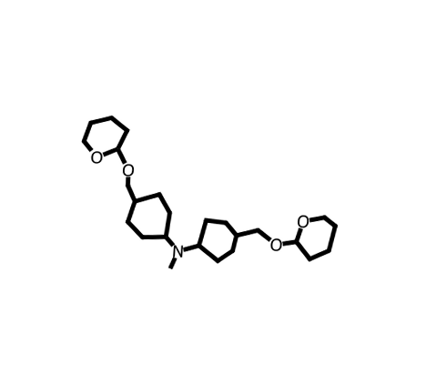 CN(C1CCC(COC2CCCCO2)CC1)C1CCC(COC2CCCCO2)CC1